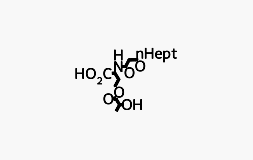 CCCCCCCC(=O)CC(=O)NC(CCOC(=O)C(C)O)C(=O)O